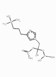 C[Si](C)(O)CCCc1cn(CC(O)(OP(O)O)O[PH](=O)O)cn1